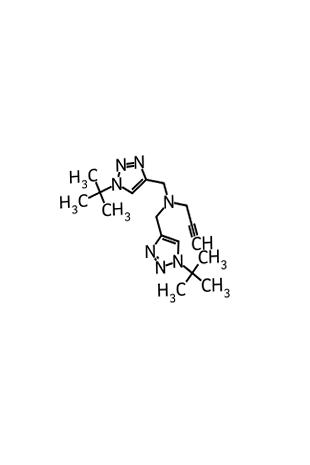 C#CCN(Cc1cn(C(C)(C)C)nn1)Cc1cn(C(C)(C)C)nn1